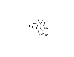 Cc1ccc2c(c1Br)NC(=O)C2(c1ccc(O)cc1)C1CCCC1